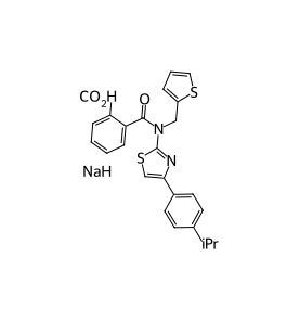 CC(C)c1ccc(-c2csc(N(Cc3cccs3)C(=O)c3ccccc3C(=O)O)n2)cc1.[NaH]